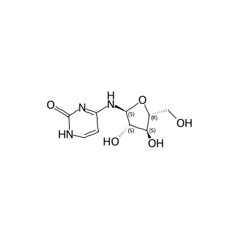 O=c1nc(N[C@H]2O[C@H](CO)[C@@H](O)[C@@H]2O)cc[nH]1